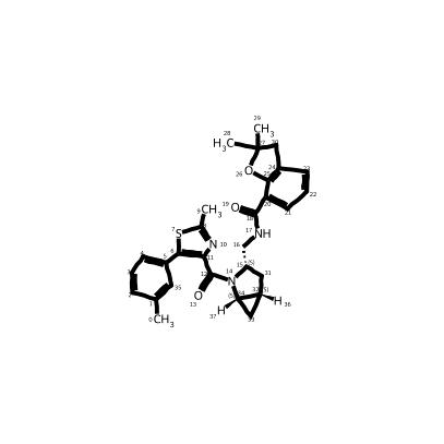 Cc1cccc(-c2sc(C)nc2C(=O)N2[C@H](CNC(=O)c3cccc4c3OC(C)(C)C4)C[C@@H]3C[C@@H]32)c1